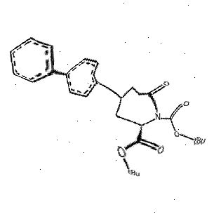 CC(C)(C)OC(=O)[C@H]1CC(c2ccc(-c3ccccc3)cc2)CC(=O)N1C(=O)OC(C)(C)C